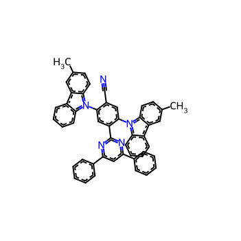 Cc1ccc2c(c1)c1ccccc1n2-c1cc(-c2nc(-c3ccccc3)cc(-c3ccccc3)n2)c(-n2c3ccccc3c3cc(C)ccc32)cc1C#N